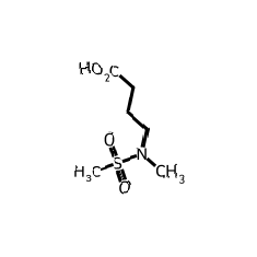 CN(CCCC(=O)O)S(C)(=O)=O